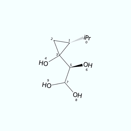 CC(C)[C@H]1CC1(O)[C@@H](O)C(O)O